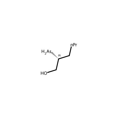 CCCC[C@@H]([AsH2])CO